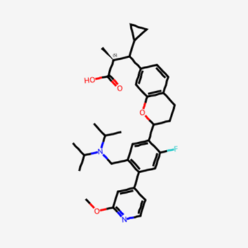 COc1cc(-c2cc(F)c(C3CCc4ccc(C(C5CC5)[C@H](C)C(=O)O)cc4O3)cc2CN(C(C)C)C(C)C)ccn1